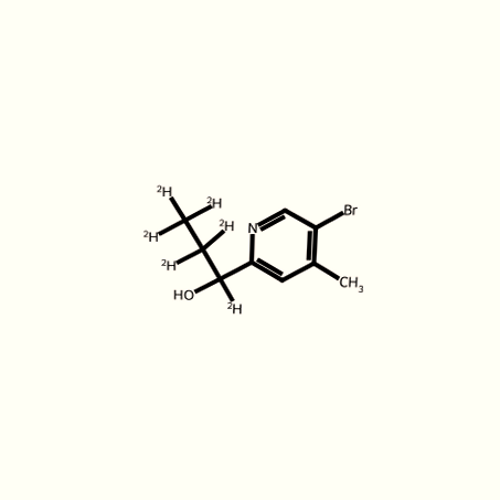 [2H]C([2H])([2H])C([2H])([2H])C([2H])(O)c1cc(C)c(Br)cn1